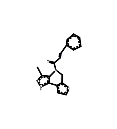 Cc1n[nH]c2c1N(C(=O)/C=C/c1ccccc1)Cc1sccc1-2